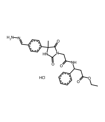 CCOC(=O)CC(NC(=O)CN1C(=O)NC(C)(c2ccc(C=NN)cc2)C1=O)c1ccccc1.Cl